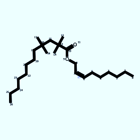 CCCCCC/C=C\COC(=O)C(C)(C)CC(C)(C)CCCCCCCC